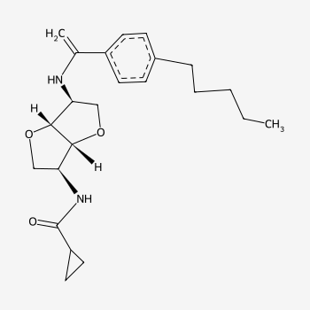 C=C(N[C@H]1CO[C@H]2[C@@H]1OC[C@@H]2NC(=O)C1CC1)c1ccc(CCCCC)cc1